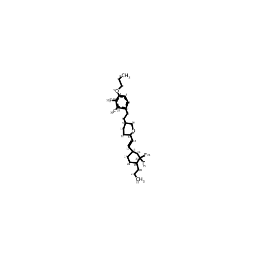 CCCOc1ccc(CCC2CCC(/C=C/C3CCC(CCC)C(F)(F)C3)OC2)c(F)c1F